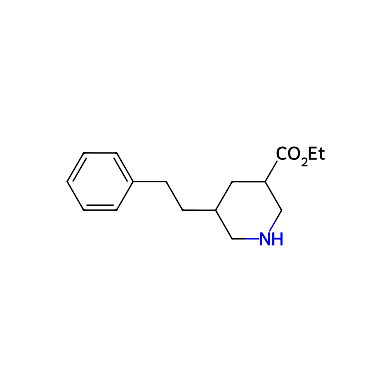 CCOC(=O)C1CNCC(CCc2ccccc2)C1